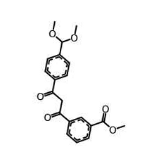 COC(=O)c1cccc(C(=O)CC(=O)c2ccc(C(OC)OC)cc2)c1